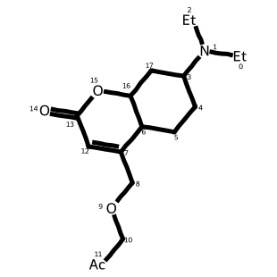 CCN(CC)C1CCC2C(COCC(C)=O)=CC(=O)OC2C1